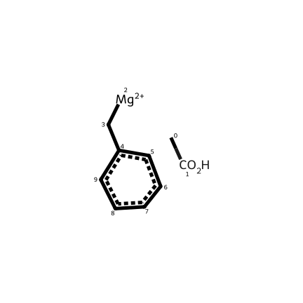 CC(=O)O.[Mg+2][CH2]c1ccccc1